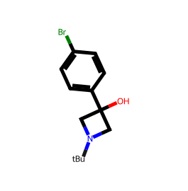 CC(C)(C)N1CC(O)(c2ccc(Br)cc2)C1